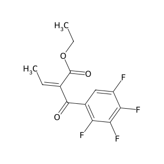 CC=C(C(=O)OCC)C(=O)c1cc(F)c(F)c(F)c1F